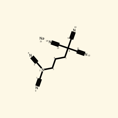 N#CN(C#N)CCCC(C#N)(C#N)C#N.[Na]